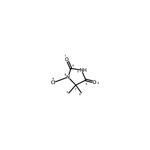 CC1(C)C(=O)NC(=O)N1Cl